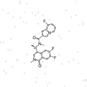 C[C@H](c1cn(C)c(=O)c2cc(F)c(F)cc12)N(C)C(=O)c1cc2c(F)cccn2c1